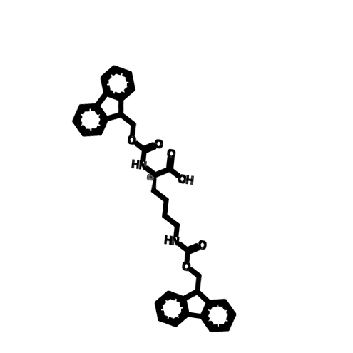 O=C(NCCCC[C@@H](NC(=O)OCC1c2ccccc2-c2ccccc21)C(=O)O)OCC1c2ccccc2-c2ccccc21